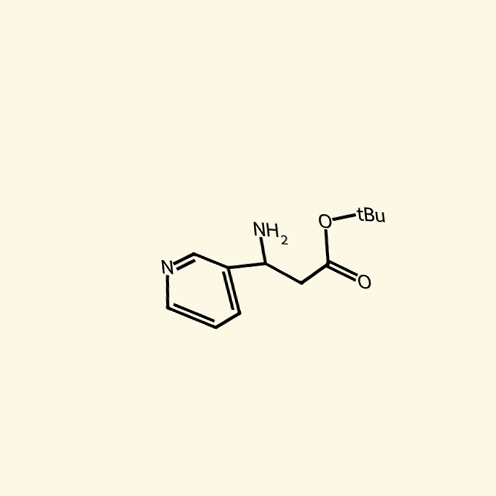 CC(C)(C)OC(=O)CC(N)c1cccnc1